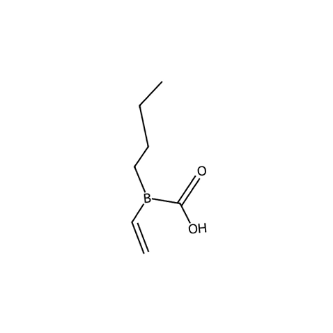 C=CB(CCCC)C(=O)O